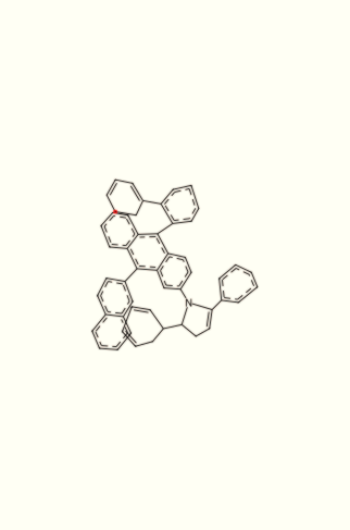 C1=CCCC(c2ccccc2-c2c3ccccc3c(-c3ccc4ccccc4c3)c3cc(N4C(c5ccccc5)=CCC4C4C=CC=CC4)ccc23)=C1